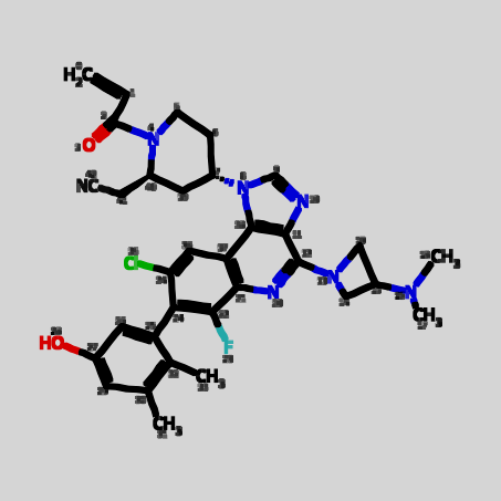 C=CC(=O)N1CC[C@H](n2cnc3c(N4CC(N(C)C)C4)nc4c(F)c(-c5cc(O)cc(C)c5C)c(Cl)cc4c32)C[C@H]1CC#N